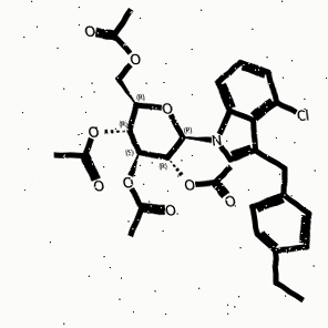 CCc1ccc(Cc2cn([C@@H]3O[C@H](COC(C)=O)[C@@H](OC(C)=O)[C@H](OC(C)=O)[C@H]3OC(C)=O)c3cccc(Cl)c23)cc1